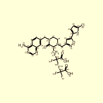 C[C@H]1C(=O)N(Cc2ccc3c(N)ncnc3c2)CCN1Cc1cc(-c2ccc(Cl)s2)on1.O=C(O)C(F)(F)F.O=C(O)C(F)(F)F